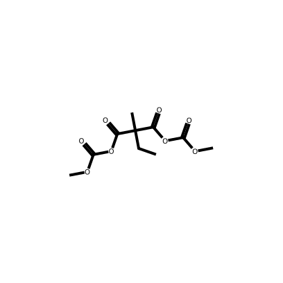 CCC(C)(C(=O)OC(=O)OC)C(=O)OC(=O)OC